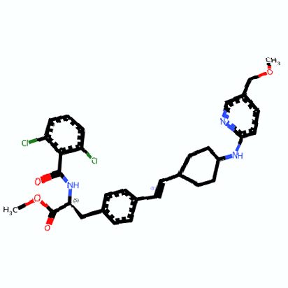 COCc1ccc(NC2CCC(/C=C/c3ccc(C[C@H](NC(=O)c4c(Cl)cccc4Cl)C(=O)OC)cc3)CC2)nc1